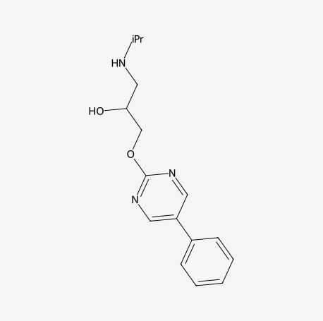 CC(C)NCC(O)COc1ncc(-c2ccccc2)cn1